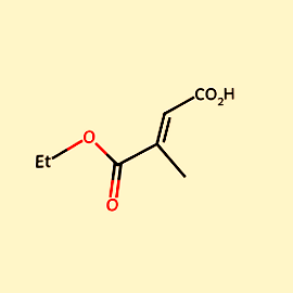 CCOC(=O)C(C)=CC(=O)O